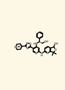 CC1(C)OC(O)c2ccc(Nc3cc(N[C@H](CO)c4ccccc4)c(-c4nc(C56CCN(CC5)CC6)no4)cn3)nc21